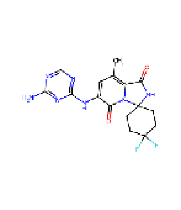 Cc1cc(Nc2ncnc(N)n2)c(=O)n2c1C(=O)NC21CCC(F)(F)CC1